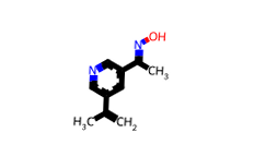 C=C(C)c1cncc(C(C)=NO)c1